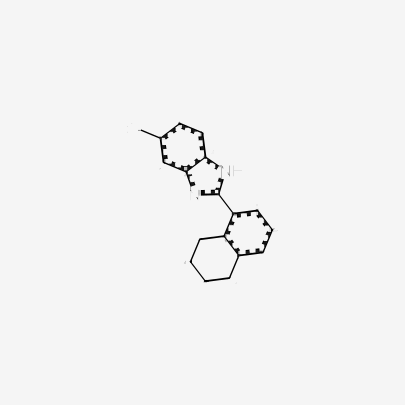 Clc1ccc2[nH]c(-c3cccc4c3CCCC4)nc2c1